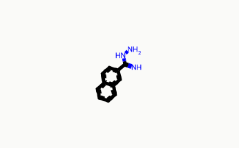 N=C(NN)c1ccc2ccccc2c1